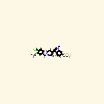 Cn1cc(C2CCN(Cc3ccc(Cl)c(C(F)(F)F)c3)CC2)c2ccc(C(=O)O)cc21